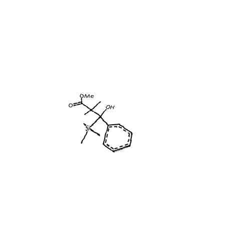 COC(=O)C(C)(C)C(O)(c1ccccc1)[Si](C)(C)C